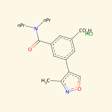 CCCN(CCC)C(=O)c1cc(C(=O)O)cc(-c2conc2C)c1.Cl